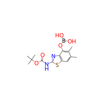 Cc1cc2sc(NC(=O)OC(C)(C)C)nc2c(OB(O)O)c1C